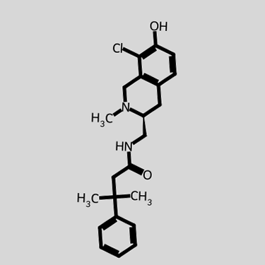 CN1Cc2c(ccc(O)c2Cl)C[C@H]1CNC(=O)CC(C)(C)c1ccccc1